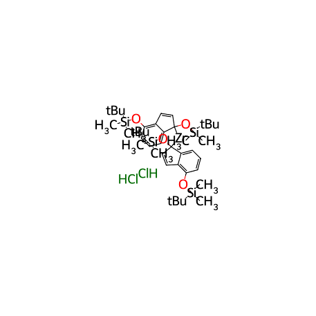 CC(C)(C)[Si](C)(C)Oc1cccc2c1C=C[C]2(O[Si](C)(C)C(C)(C)C)[Zr][C]1(O[Si](C)(C)C(C)(C)C)C=Cc2c(O[Si](C)(C)C(C)(C)C)cccc21.Cl.Cl